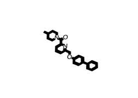 CC1CCN(C(=O)c2cccc(COc3ccc(-c4ccccc4)cc3)n2)CC1